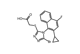 O=C(O)CSc1nnc(Br)n1-c1c(C2CC2)cc(F)c2ccccc12